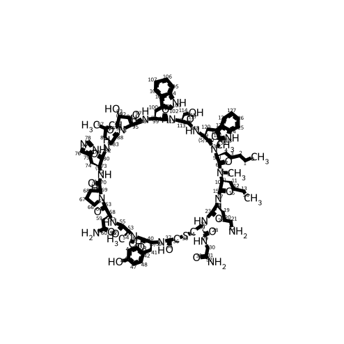 CCCCC[C@H]1C(=O)N(C)[C@@H](CCCC)C(=O)N[C@@H](CCCN)C(=O)N[C@H](C(=O)NCC(N)=O)CSCC(=O)N[C@@H](Cc2ccc(O)cc2)C(=O)N(C)[C@@H](C)C(=O)N[C@@H](CC(N)=O)C(=O)N2CCC[C@H]2C(=O)N[C@@H](Cc2cnc[nH]2)C(=O)N[C@@H](CC(C)C)C(=O)N2C[C@H](O)C[C@H]2C(=O)N[C@@H](Cc2c[nH]c3ccccc23)C(=O)N[C@@H](CO)C(=O)N[C@@H](Cc2c[nH]c3ccccc23)C(=O)N1C